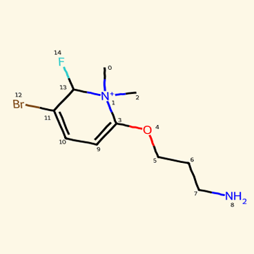 C[N+]1(C)C(OCCCN)=CC=C(Br)C1F